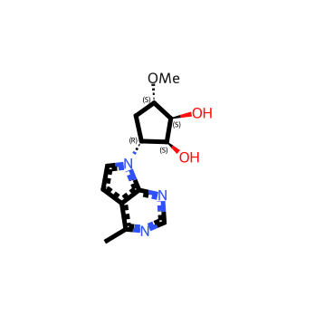 CO[C@H]1C[C@@H](n2ccc3c(C)ncnc32)[C@H](O)[C@@H]1O